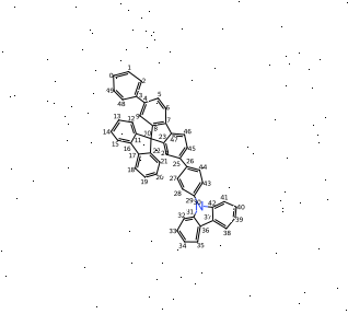 c1ccc(-c2ccc3c(c2)C2(c4ccccc4-c4ccccc42)c2cc(-c4ccc(-n5c6ccccc6c6ccccc65)cc4)ccc2-3)cc1